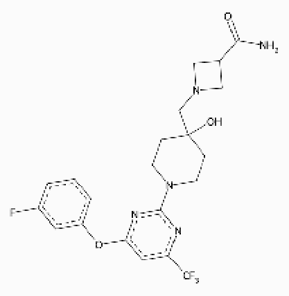 NC(=O)C1CN(CC2(O)CCN(c3nc(Oc4cccc(F)c4)cc(C(F)(F)F)n3)CC2)C1